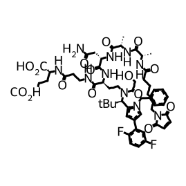 C[C@H](NC(=O)CCCCCN1C(=O)C=CC1=O)C(=O)N[C@@H](C)C(=O)N[C@@H](CC(N)=O)C(=O)N[C@@H](CCN(C(=O)CO)[C@@H](c1cc(-c2cc(F)ccc2F)cn1Cc1ccccc1)C(C)(C)C)C(=O)NCCC(=O)N[C@@H](CCC(=O)O)C(=O)O